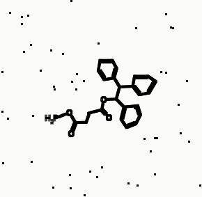 O=C(CCC(=O)OC(c1ccccc1)C(c1ccccc1)c1ccccc1)OP